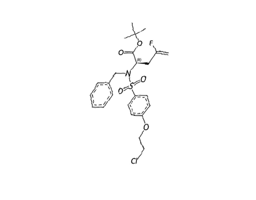 C=C(F)C[C@H](C(=O)OC(C)(C)C)N(Cc1ccccc1)S(=O)(=O)c1ccc(OCCCl)cc1